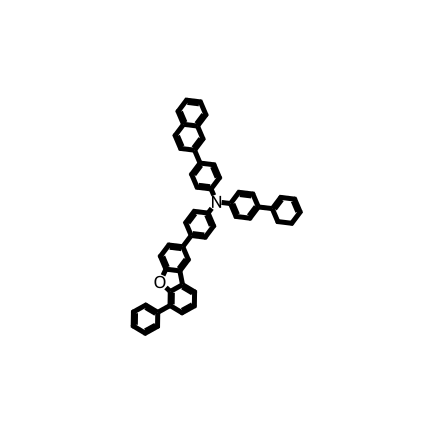 C1=CCCC(c2ccc(N(c3ccc(-c4ccc5ccccc5c4)cc3)c3ccc(-c4ccc5oc6c(-c7ccccc7)cccc6c5c4)cc3)cc2)=C1